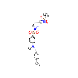 C=CS(=O)(=O)NC[C@H]1CCN(S(=O)(=O)c2ccc(N(Cc3ccc(C(F)(F)F)cc3)C(C)=O)cc2)C1